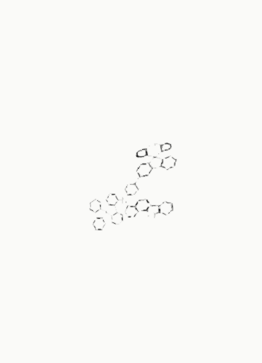 c1ccc(C2(c3ccccc3)c3ccccc3-c3c(N(c4ccc(-c5ccc6c(c5)-c5ccccc5C65c6ccccc6Sc6ccccc65)cc4)c4cccc5c4ccc4c6ccccc6oc54)cccc32)cc1